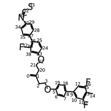 C=C(CCOc1ccc(-c2cc(F)c(C)c(F)c2)cc1)CCOc1ccc(-c2ccc(N=C=S)cc2)c(F)c1